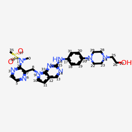 CN(c1nccnc1Cn1ccc2cnc(Nc3ccc(N4CCN(CCO)CC4)cc3)nc21)S(C)(=O)=O